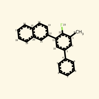 Cc1cc(-c2ccccc2)cc(-c2ccc3ccccc3c2)c1F